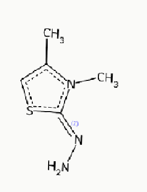 Cc1cs/c(=N\N)n1C